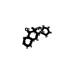 CCCC1(C)C(=O)c2ccccc2C=C1N1CCCC1